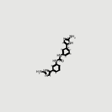 Nc1ncc(-c2cccc(NC(=O)Nc3cccc(-c4cnc(N)[nH]4)c3)c2)[nH]1